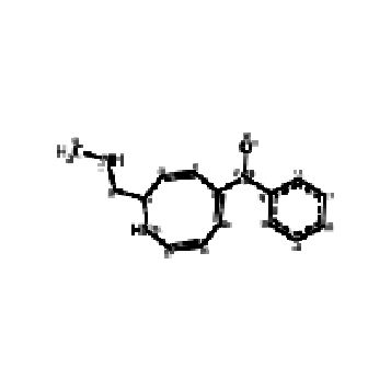 CNCC1\C=C/C([S+]([O-])c2ccccc2)=C\C=C/N1